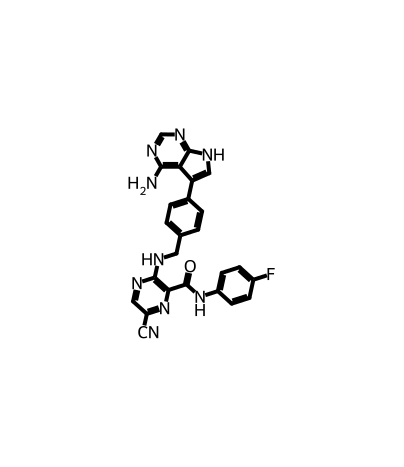 N#Cc1cnc(NCc2ccc(-c3c[nH]c4ncnc(N)c34)cc2)c(C(=O)Nc2ccc(F)cc2)n1